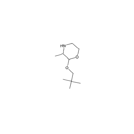 CC1NCCOC1OCC(C)(C)C